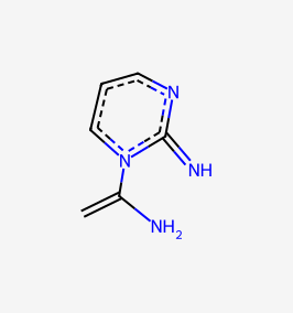 C=C(N)n1cccnc1=N